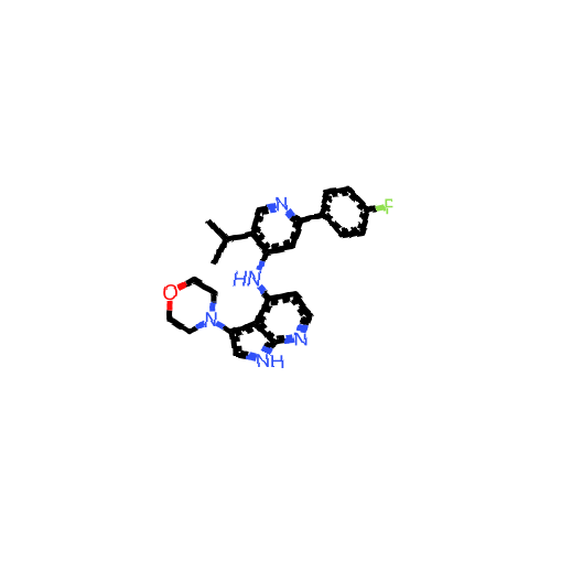 CC(C)c1cnc(-c2ccc(F)cc2)cc1Nc1ccnc2[nH]cc(N3CCOCC3)c12